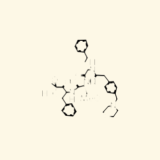 COC[C@H](NC(=O)[C@H](CCc1ccccc1)NC(=O)Cc1ccc(CN2CCOCC2)cc1)C(=O)NC(Cc1ccccc1)C(=O)[C@@]1(C)CO1